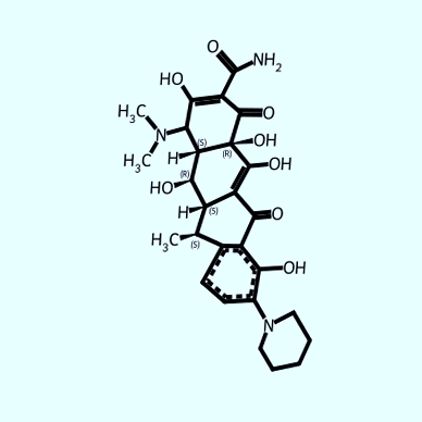 C[C@@H]1c2ccc(N3CCCCC3)c(O)c2C(=O)C2=C(O)[C@@]3(O)C(=O)C(C(N)=O)=C(O)C(N(C)C)[C@H]3[C@H](O)[C@H]21